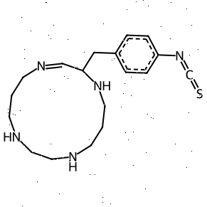 S=C=Nc1ccc(CC2C=NCCCNCCNCCCN2)cc1